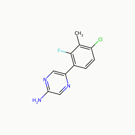 Cc1c(Cl)ccc(-c2cnc(N)cn2)c1F